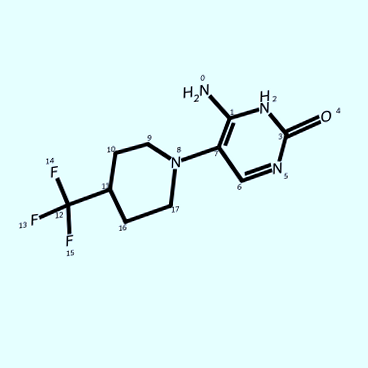 Nc1[nH]c(=O)ncc1N1CCC(C(F)(F)F)CC1